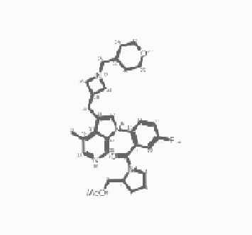 COCC1CCCN1C(=O)c1cc(F)ccc1-n1cc(CC2CN(CC3CCOCC3)C2)c2c(C)cncc21